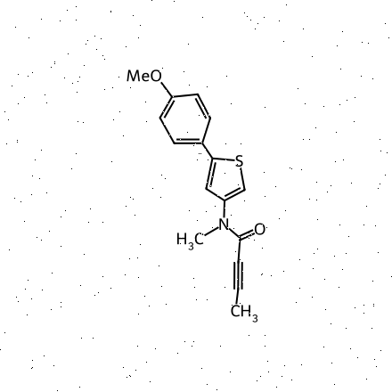 CC#CC(=O)N(C)c1csc(-c2ccc(OC)cc2)c1